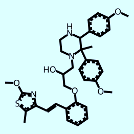 COc1ccc(C2NCCN(CC(O)COc3ccccc3C=Cc3nc(OC)sc3C)C2(C)c2ccc(OC)cc2)cc1